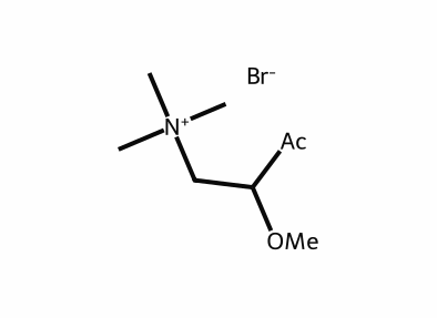 COC(C[N+](C)(C)C)C(C)=O.[Br-]